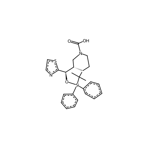 CC(C)(C)[Si](O[C@@H](c1nccs1)[C@H]1CCCN(C(=O)O)C1)(c1ccccc1)c1ccccc1